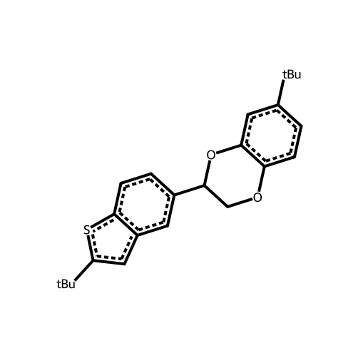 CC(C)(C)c1ccc2c(c1)OC(c1ccc3sc(C(C)(C)C)cc3c1)CO2